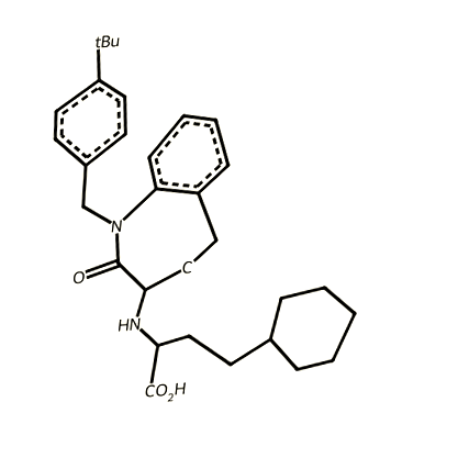 CC(C)(C)c1ccc(CN2C(=O)C(NC(CCC3CCCCC3)C(=O)O)CCc3ccccc32)cc1